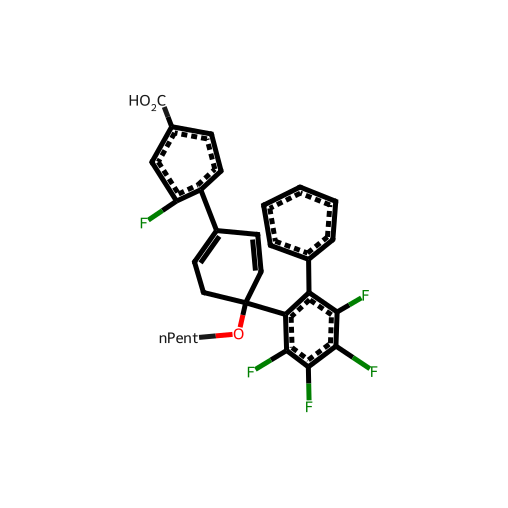 CCCCCOC1(c2c(F)c(F)c(F)c(F)c2-c2ccccc2)C=CC(c2ccc(C(=O)O)cc2F)=CC1